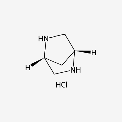 C1N[C@H]2CN[C@@H]1C2.Cl